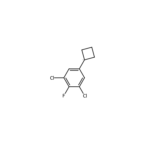 Fc1c(Cl)cc([C]2CCC2)cc1Cl